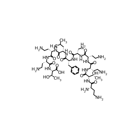 CC(C)C[C@H](NC(=O)[C@@H](Cc1ccccc1)NC(=O)[C@H](CN)NC(=O)[C@H](CCN)NC(=O)[C@H](CCN)NC(=O)[C@@H](NC(=O)[C@@H](N)CCN)[C@@H](C)O)C(=O)N[C@@H](CCN)C(=O)N[C@@H](CCN)C(=O)N[C@H](C(=O)O)[C@@H](C)O